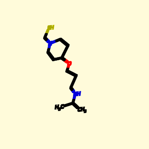 CC(C)NCCCOC1CCN(CS)CC1